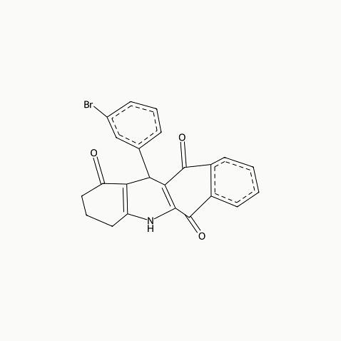 O=C1CCCC2=C1C(c1cccc(Br)c1)C1=C(N2)C(=O)c2ccccc2C1=O